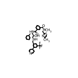 Cc1csc(CN(C)C(=O)c2cccc(C(=O)N[C@@H](Cc3ccccc3)[C@H](O)CNCc3cc(-c4ccncc4)cc(C(F)(F)F)c3)c2)n1